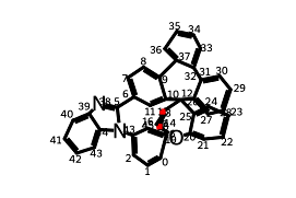 c1ccc(-n2c(-c3ccc4c(c3)C3(c5ccccc5Oc5ccccc53)c3ccccc3-c3ccccc3-4)nc3ccccc32)cc1